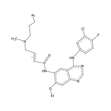 CCOc1cc2ncnc(Nc3ccc(F)c(Cl)c3)c2cc1NC(=O)/C=C/CN(C)CCCC(C)=O